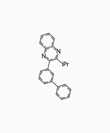 CC(C)c1nc2ccccc2nc1-c1cccc(-c2ccccc2)c1